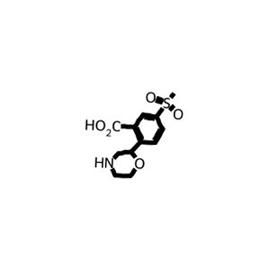 CS(=O)(=O)c1ccc(C2CNCCO2)c(C(=O)O)c1